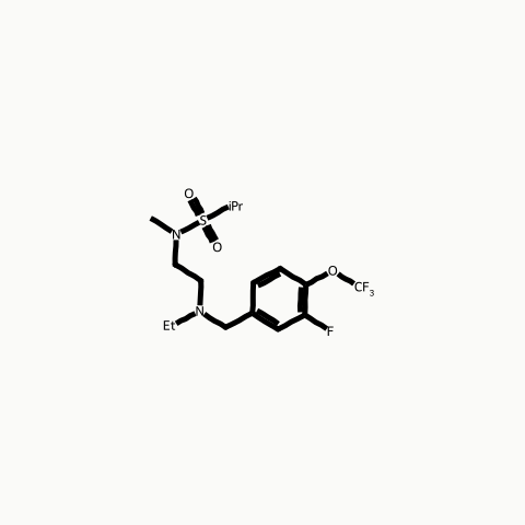 CCN(CCN(C)S(=O)(=O)C(C)C)Cc1ccc(OC(F)(F)F)c(F)c1